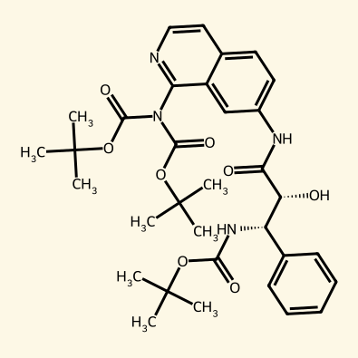 CC(C)(C)OC(=O)N[C@@H](c1ccccc1)[C@@H](O)C(=O)Nc1ccc2ccnc(N(C(=O)OC(C)(C)C)C(=O)OC(C)(C)C)c2c1